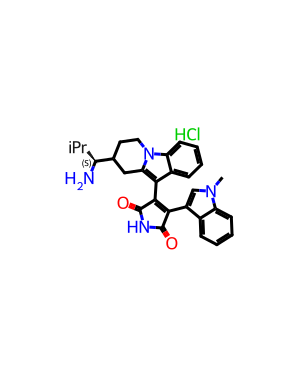 CC(C)[C@H](N)C1CCn2c(c(C3=C(c4cn(C)c5ccccc45)C(=O)NC3=O)c3ccccc32)C1.Cl